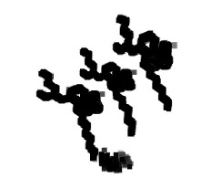 CCCCCCCCCc1c(CC(CC)CCCC)cccc1P(=O)([O-])[O-].CCCCCCCCCc1c(CC(CC)CCCC)cccc1P(=O)([O-])[O-].CCCCCCCCCc1c(CC(CC)CCCC)cccc1P(=O)([O-])[O-].[Nd+3].[Nd+3]